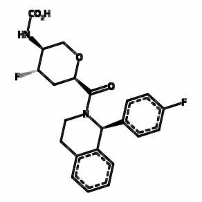 O=C(O)N[C@H]1CO[C@@H](C(=O)N2CCc3ccccc3[C@@H]2c2ccc(F)cc2)C[C@@H]1F